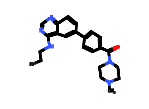 CC(C)CCNc1ncnc2ccc(-c3ccc(C(=O)N4CCN(C)CC4)cc3)cc12